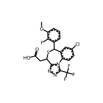 COc1cccc(C2SC(CC(=O)O)c3nnc(C(F)(F)F)n3-c3ccc(Cl)cc32)c1F